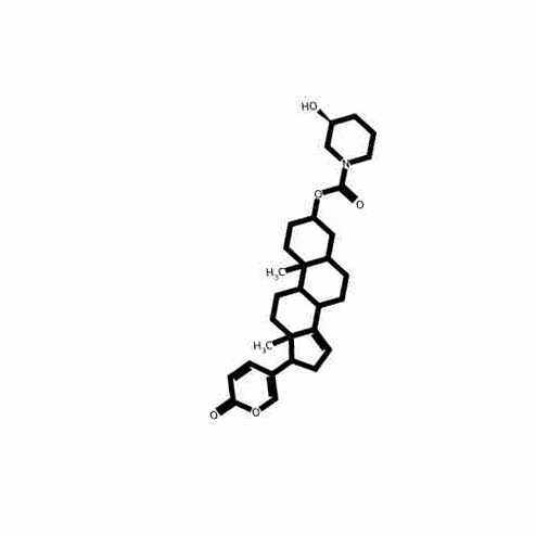 CC12CCC3C(CCC4CC(OC(=O)N5CCC[C@H](O)C5)CCC43C)C1=CCC2c1ccc(=O)oc1